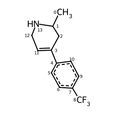 CC1CC(c2ccc(C(F)(F)F)cc2)=CCN1